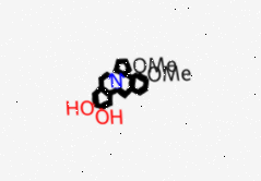 COc1ccc2c(c1OC)C1(CCCC1)N1CCc3cc(O)c(O)cc3C1=C2